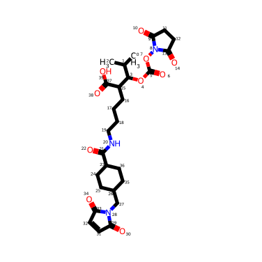 CC(C)C(OC(=O)ON1C(=O)CCC1=O)C(CCCCNC(=O)C1CCC(CN2C(=O)C=CC2=O)CC1)C(=O)O